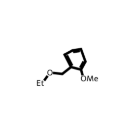 CCOCc1ccccc1OC